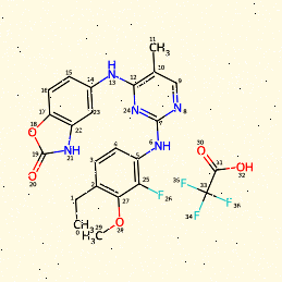 CCc1ccc(Nc2ncc(C)c(Nc3ccc4oc(=O)[nH]c4c3)n2)c(F)c1OC.O=C(O)C(F)(F)F